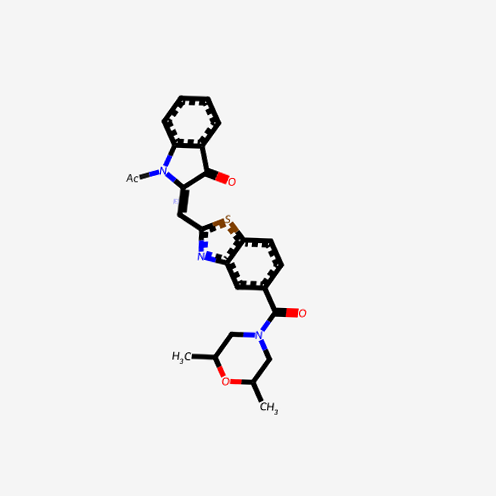 CC(=O)N1/C(=C/c2nc3cc(C(=O)N4CC(C)OC(C)C4)ccc3s2)C(=O)c2ccccc21